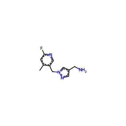 Cc1cc(F)ncc1Cn1cc(CN)cn1